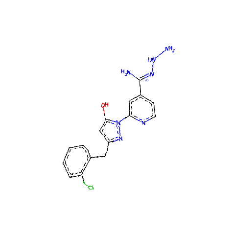 NN/N=C(\N)c1ccnc(-n2nc(Cc3ccccc3Cl)cc2O)c1